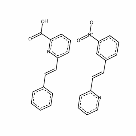 O=C(O)c1cccc(C=Cc2ccccc2)n1.O=[N+]([O-])c1cccc(C=Cc2ccccn2)c1